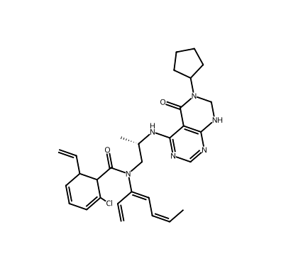 C=C/C(=C\C=C/C)N(C[C@H](C)Nc1ncnc2c1C(=O)N(C1CCCC1)CN2)C(=O)C1C(Cl)=CC=CC1C=C